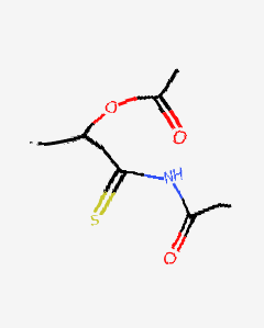 [CH2]C(OC(C)=O)C(=S)NC(C)=O